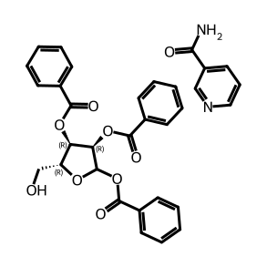 NC(=O)c1cccnc1.O=C(OC1O[C@H](CO)[C@@H](OC(=O)c2ccccc2)[C@H]1OC(=O)c1ccccc1)c1ccccc1